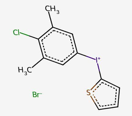 Cc1cc([I+]c2cccs2)cc(C)c1Cl.[Br-]